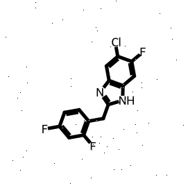 Fc1ccc(Cc2nc3cc(Cl)c(F)cc3[nH]2)c(F)c1